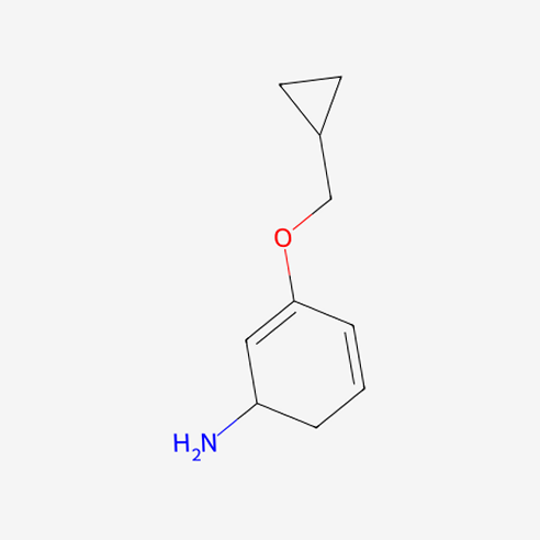 NC1C=C(OCC2CC2)C=CC1